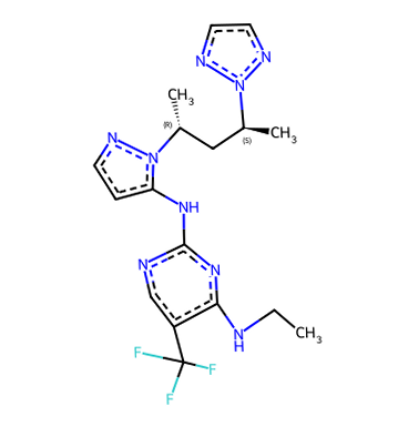 CCNc1nc(Nc2ccnn2[C@H](C)C[C@H](C)n2nccn2)ncc1C(F)(F)F